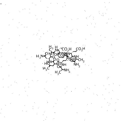 C=C(O)CC(NC(=O)[C@@H](CCC(=O)O)NC(=O)C(C)N)C(=O)N[C@H](CC(N)=O)C(=O)NC(C)C(=O)N[C@H](CC(=O)O)C(=O)NC(CCC(=O)O)C(=O)N[C@H](CCC(=O)O)C(=O)NC(C)C(N)=O